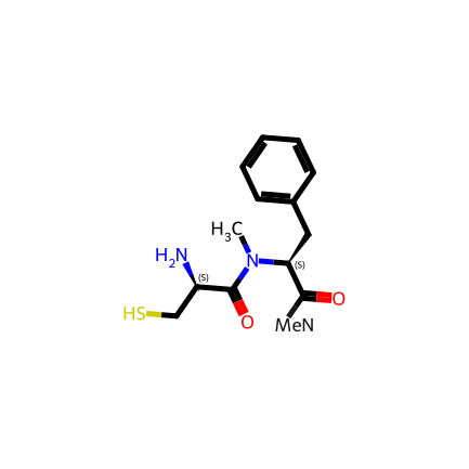 CNC(=O)[C@H](Cc1ccccc1)N(C)C(=O)[C@H](N)CS